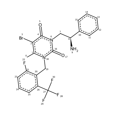 Cc1c(Br)c(=O)n(C[C@H](N)c2ccccc2)c(=O)n1Cc1c(F)cccc1C(F)(F)F